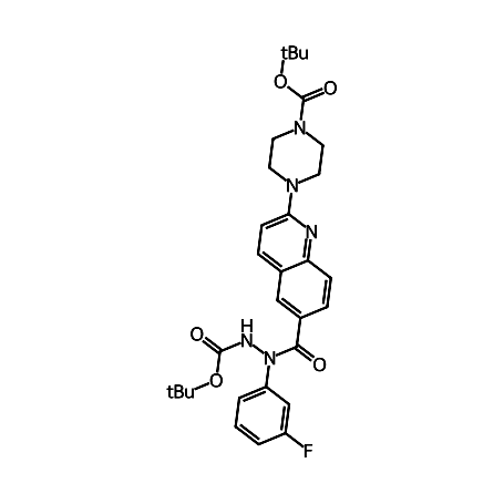 CC(C)(C)OC(=O)NN(C(=O)c1ccc2nc(N3CCN(C(=O)OC(C)(C)C)CC3)ccc2c1)c1cccc(F)c1